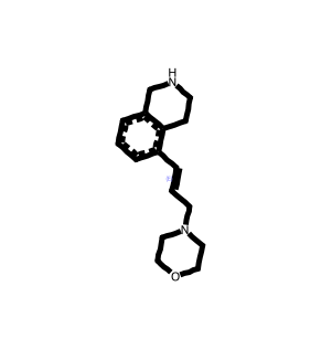 C(=C\c1cccc2c1CCNC2)/CN1CCOCC1